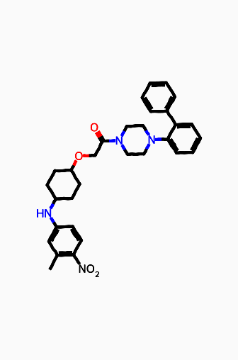 Cc1cc(NC2CCC(OCC(=O)N3CCN(c4ccccc4-c4ccccc4)CC3)CC2)ccc1[N+](=O)[O-]